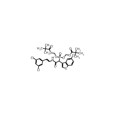 CC(C)(C)C(=O)OCOP(=O)(OCOC(=O)C(C)(C)C)C(C(=O)N/C=C/c1cc(Cl)cc(Cl)c1)c1csc2ccc(Cl)cc12